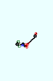 C=C(C(=O)OOCCCCCCCCc1ccc(OC)cc1)c1cccc(CSc2c(Cl)cccc2Cl)n1